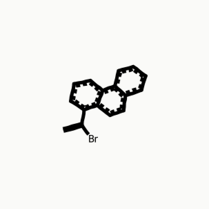 C=C(Br)c1cccc2c1ccc1ccccc12